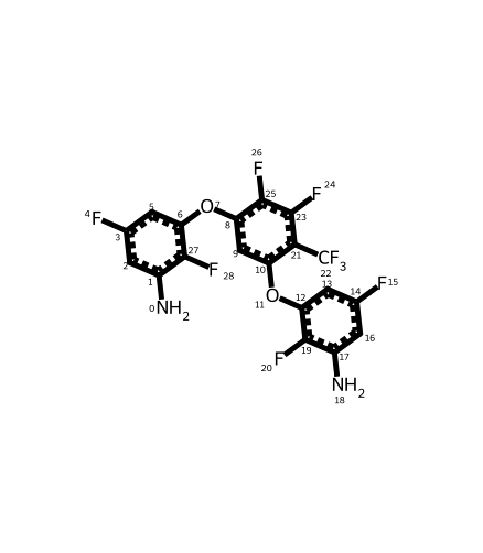 Nc1cc(F)cc(Oc2cc(Oc3cc(F)cc(N)c3F)c(C(F)(F)F)c(F)c2F)c1F